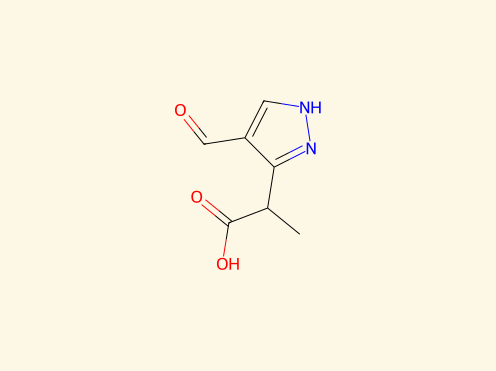 CC(C(=O)O)c1n[nH]cc1C=O